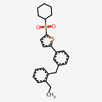 CCc1ccccc1Cc1cccc(-c2ccc(S(=O)(=O)C3CCCCC3)s2)c1